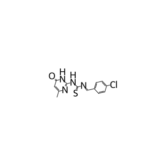 Cc1cc(=O)[nH]c(NC(=S)N=Cc2ccc(Cl)cc2)n1